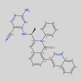 C[C@H](Nc1nc(N)ncc1C#N)c1cc2cccc(-c3cnc4ccccc4c3)c2c(=O)n1-c1ccccc1